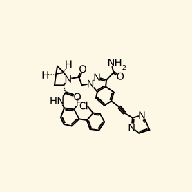 NC(=O)c1nn(CC(=O)N2[C@@H]3C[C@@H]3C[C@H]2C(=O)Nc2cccc(-c3ccccc3Cl)c2F)c2ccc(C#Cc3ncccn3)cc12